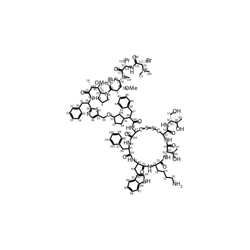 CC[C@H](C)[C@@H]([C@@H](CC(=O)N1CCC[C@H]1[C@H](OC)[C@@H](C)C(=O)NC(Cc1ccccc1)c1ncc(COC2CCC(C(Cc3ccccc3)C(=O)NC3CSSCC(C(=O)N[C@H](CO)[C@@H](C)O)NC(=O)[C@H]([C@@H](C)O)NC(=O)C(CCCCN)NC(=O)C(Cc4c[nH]c5ccccc45)NC(=O)C(Cc4ccccc4)NC3=O)C2)s1)OC)N(C)C(=O)[C@@H](NC(=O)[C@H](C(C)C)N(C)C)C(C)C